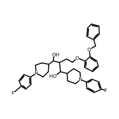 OC(C1CCN(c2ccc(F)cc2)CC1)C(CCOc1ccccc1OCc1ccccc1)C(O)C1CCN(c2ccc(F)cc2)CC1